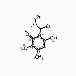 CCC(OC(C)C)n1c(O)cc(C)c(C#N)c1=O